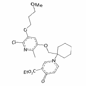 CCOC(=O)c1cn(C2(COc3cc(OCCCOC)c(Cl)nc3C)CCCCC2)ccc1=O